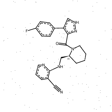 N#Cc1cccnc1NC[C@@H]1CCCCN1C(=O)c1n[nH]cc1-c1ccc(F)cc1